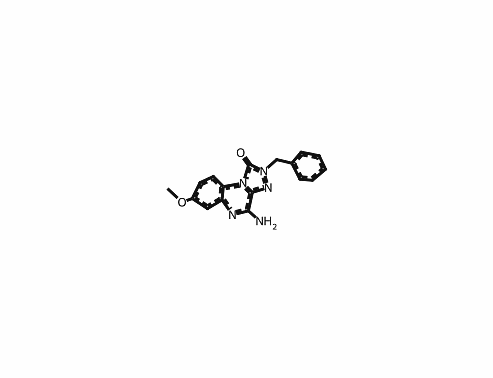 COc1ccc2c(c1)nc(N)c1nn(Cc3ccccc3)c(=O)n12